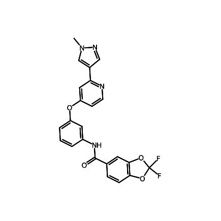 Cn1cc(-c2cc(Oc3cccc(NC(=O)c4ccc5c(c4)OC(F)(F)O5)c3)ccn2)cn1